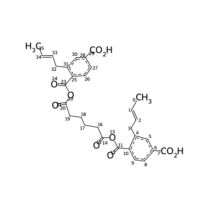 CC=CCc1cc(C(=O)O)ccc1C(=O)OC(=O)CCCCC(=O)OC(=O)c1ccc(C(=O)O)cc1CC=CC